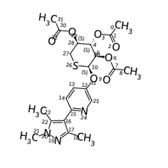 CC(=O)O[C@@H]1[C@@H](OC(C)=O)[C@@H](Oc2ccc(-c3c(C)nn(C)c3C)nc2)SC[C@H]1OC(C)=O